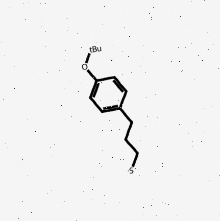 CC(C)(C)Oc1ccc(CCC[S])cc1